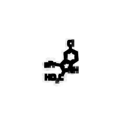 CCCc1c(C(=O)O)[nH]c2ccc(Cl)cc12